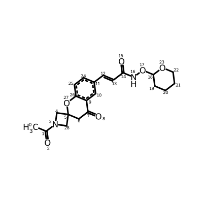 CC(=O)N1CC2(CC(=O)c3cc(C=CC(=O)NOC4CCCCO4)ccc3O2)C1